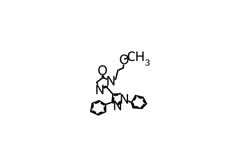 COCCCN1C(=O)CN=C1c1cn(-c2ccccc2)nc1-c1ccccc1